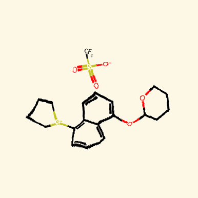 O=S(=O)([O-])C(F)(F)F.c1cc([S+]2CCCC2)c2cccc(OC3CCCCO3)c2c1